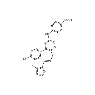 Cn1ccnc1C1=NCc2cnc(Nc3ccc(C(=O)O)cc3)nc2-c2ccc(Cl)cc21